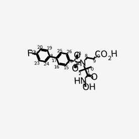 CC(C)(C(=O)NO)N(CCC(=O)O)S(=O)(=O)c1ccc(-c2ccc(F)cc2)cc1